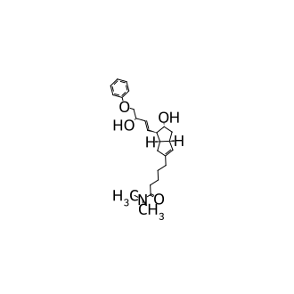 CN(C)C(=O)CCCCC1=C[C@H]2C[C@@H](O)[C@H](/C=C/[C@H](O)COc3ccccc3)[C@H]2C1